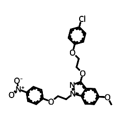 COc1ccc2c(c1)c(OCCOc1ccc(Cl)cc1)nn2CCOc1ccc([N+](=O)[O-])cc1